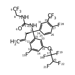 C=CC[C@](NC(=O)NCC(F)(F)F)(c1cc(F)cc(OC(F)(F)C(F)F)c1)c1ccc(F)c(C(F)(F)F)c1